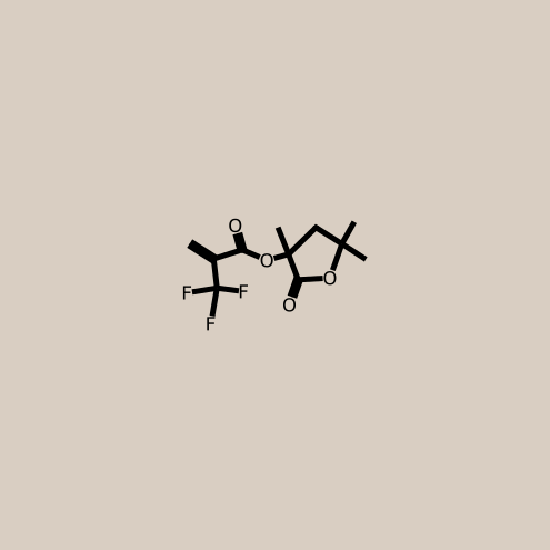 C=C(C(=O)OC1(C)CC(C)(C)OC1=O)C(F)(F)F